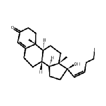 C[C@]12CCC(=O)C=C1CC[C@@H]1[C@@H]2CC[C@@]2(C)[C@H]1CC[C@@]2(O)/C=C\CCI